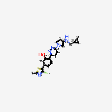 Cc1nc(F)c(-c2ccc(-c3ccc(N4CCC(NCC5CC5)C4)nn3)c(O)c2)s1